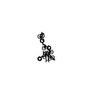 CCOC(=O)C[C@H](NC(=O)OCc1ccccc1)NC(=O)[C@@H]1CCCN(C(=O)CCC2CCN(C(=O)OC(C)(C)C)CC2)C1